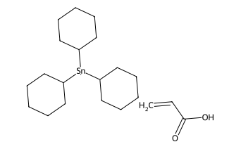 C1CC[CH]([Sn]([CH]2CCCCC2)[CH]2CCCCC2)CC1.C=CC(=O)O